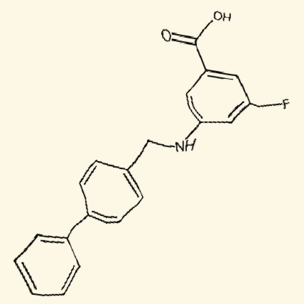 O=C(O)c1cc(F)cc(NCc2ccc(-c3ccccc3)cc2)c1